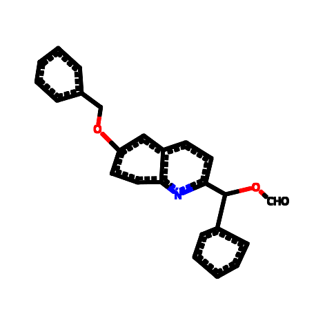 O=COC(c1ccccc1)c1ccc2cc(OCc3ccccc3)ccc2n1